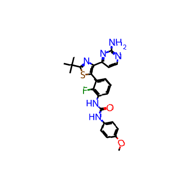 COc1ccc(NC(=O)Nc2cccc(-c3sc(C(C)(C)C)nc3-c3ccnc(N)n3)c2F)cc1